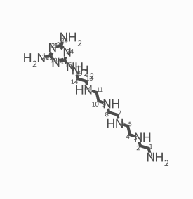 NCCNCCNCCNCCNCCN.Nc1nc(N)nc(N)n1